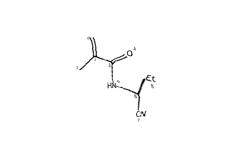 C=C(C)C(=O)NC(C#N)CC